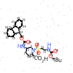 CC(C)CC(CN(CC(=O)O)S(=O)(=O)CCNC(=O)OC(C)(C)C)NC(=O)OCC1c2ccccc2-c2ccccc21